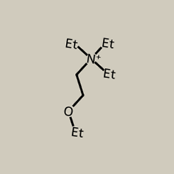 CCOCC[N+](CC)(CC)CC